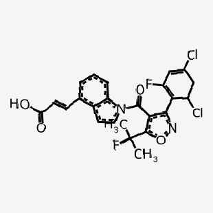 CC(C)(F)c1onc(C2=C(F)C=C(Cl)CC2Cl)c1C(=O)n1ccc2c(/C=C/C(=O)O)cccc21